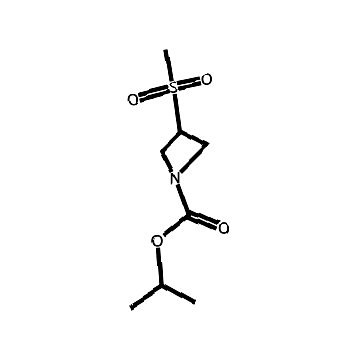 CC(C)OC(=O)N1CC(S(C)(=O)=O)C1